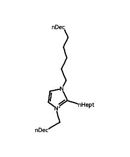 CCCCCCCCCCCCCCCn1cc[n+](CCCCCCCCCCC)c1CCCCCCC